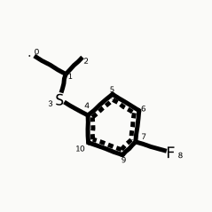 [CH2]C(C)Sc1ccc(F)cc1